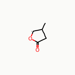 CC1[CH]OC(=O)C1